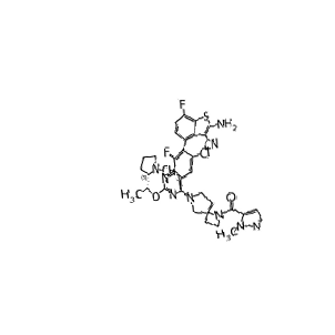 CC(Oc1nc(N2CCC3(CCN3C(=O)c3ccnn3C)C2)c2cc(Cl)c(-c3ccc(F)c4sc(N)c(C#N)c34)c(F)c2n1)[C@@H]1CCCN1C